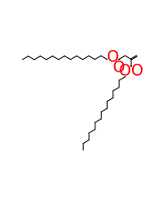 C=C(CC(=O)OCCCCCCCCCCCCCCC)C(=O)OCCCCCCCCCCCCCCC